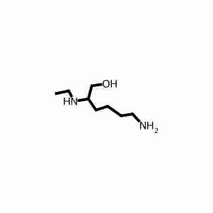 CCNC(CO)CCCCN